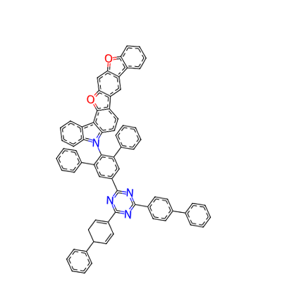 C1=CC(c2ccccc2)CC=C1c1nc(-c2ccc(-c3ccccc3)cc2)nc(-c2cc(-c3ccccc3)c(-n3c4ccccc4c4c5oc6cc7oc8ccccc8c7cc6c5ccc43)c(-c3ccccc3)c2)n1